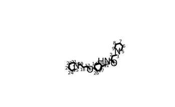 O=C(CCN1CCCCC1)NCc1ccc(OCCCN2CCCCC2)cc1